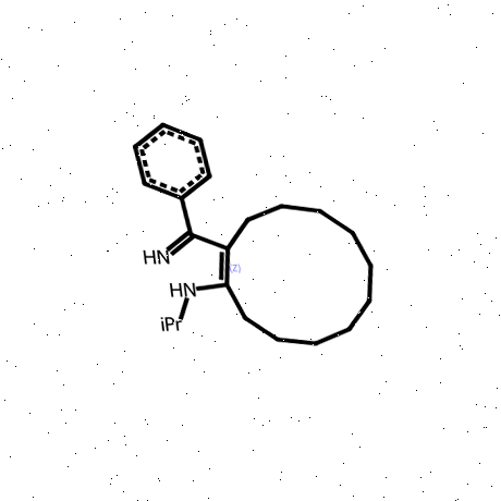 CC(C)N/C1=C(\C(=N)c2ccccc2)CCCCCCCCCC1